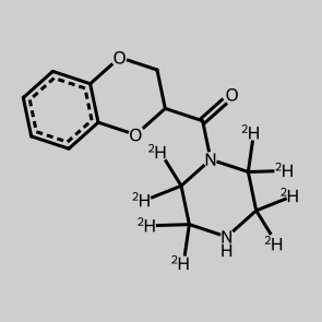 [2H]C1([2H])NC([2H])([2H])C([2H])([2H])N(C(=O)C2COc3ccccc3O2)C1([2H])[2H]